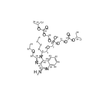 CCCCC(COCP(=O)(OCOC(=O)OC(C)C)OCOC(=O)OC(C)C)n1c(COCC)nc2c(N)nc3ccccc3c21